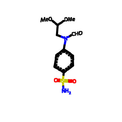 COC(CN(C=O)c1ccc(S(N)(=O)=O)cc1)OC